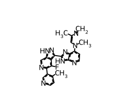 C=N/C(C)=C\N(C)c1ccnc2[nH]c(-c3n[nH]c4cnc(-c5cnccc5C)c(F)c34)nc12